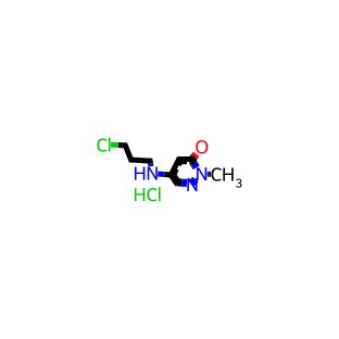 Cl.Cn1ncc(NCCCCl)cc1=O